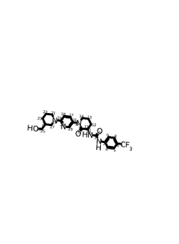 O=C(Nc1ccc(C(F)(F)F)cc1)N[C@@H]1CCCN(c2ccc(N3CCCC(CO)C3)nc2)C1=O